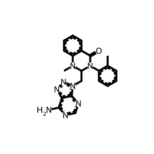 Cc1ccccc1N1C(=O)c2ccccc2N(C)C1Cn1nnc2c(N)ncnc21